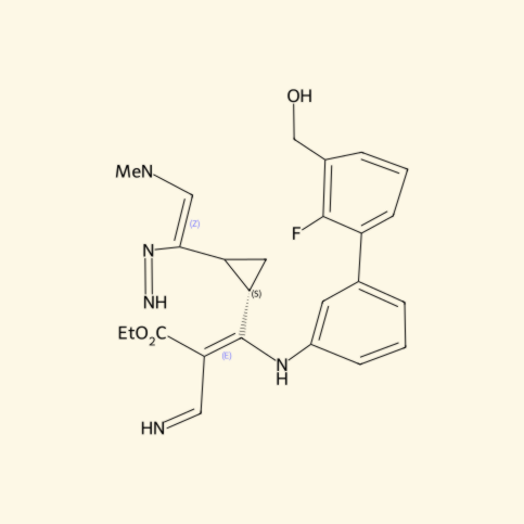 CCOC(=O)/C(C=N)=C(/Nc1cccc(-c2cccc(CO)c2F)c1)[C@H]1CC1/C(=C/NC)N=N